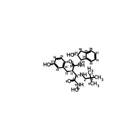 CC(C)(C)CN[C@H](C(=O)NO)[C@@H](Cc1cccc(O)c1)C(=O)N[C@H]1c2ccccc2C[C@H]1O